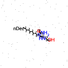 CCCCCCCCCCCCCCCCCCN(CCNCCO)C(N)=O